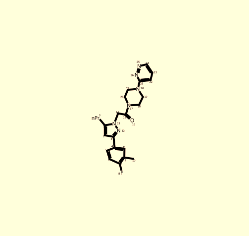 CCCc1cc(-c2ccc(F)c(C)c2)nn1CC(=O)N1CCN(c2cccnn2)CC1